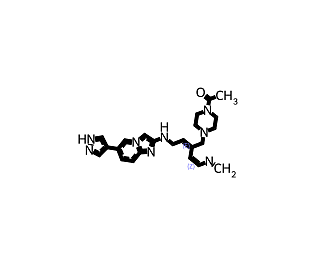 C=N/C=C\C(=C/CNc1cn2cc(-c3cn[nH]c3)ccc2n1)CN1CCN(C(C)=O)CC1